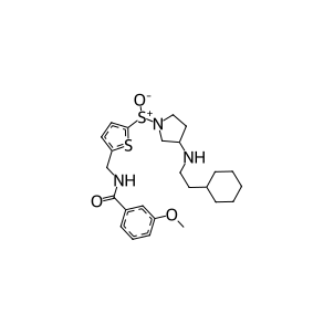 COc1cccc(C(=O)NCc2ccc([S+]([O-])N3CCC(NCCC4CCCCC4)C3)s2)c1